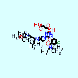 CCN(C(=O)c1cc(F)ccc1Oc1nncnc1N1CCC2(C1)CN(C(CCCN(C)CC(C)(C)OC)C(C)C)C2)C(C)C.O=C(O)/C=C/C(=O)O